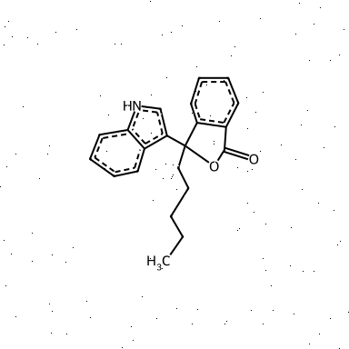 CCCCCC1(c2c[nH]c3ccccc23)OC(=O)c2ccccc21